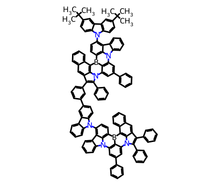 CC(C)(C)c1ccc2c(c1)c1cc(C(C)(C)C)ccc1n2-c1ccc2c3c1c1ccccc1n3-c1cc(-c3ccccc3)cc3c1B2c1c2ccccc2cc2c(-c4cccc(-c5ccc6c(c5)c5ccccc5n6-c5ccc6c7c5c5ccccc5n7-c5cc(-c7ccccc7)cc7c5B6c5c6ccccc6cc6c(-c8ccccc8)c(-c8ccccc8)n-7c56)c4)c(-c4ccccc4)n-3c12